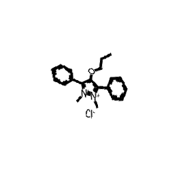 CCCOc1c(-c2ccccc2)n(C)[n+](C)c1-c1ccccc1.[Cl-]